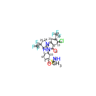 C[S@@](=N)(=O)c1cccc(NC(=O)c2cc(Cl)c(C(F)(F)F)cc2N2CCC(C(F)(F)F)CC2)c1